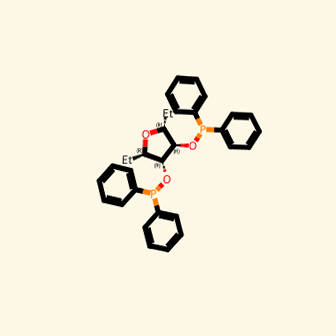 CC[C@H]1O[C@H](CC)[C@@H](OP(c2ccccc2)c2ccccc2)[C@@H]1OP(c1ccccc1)c1ccccc1